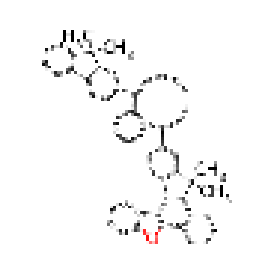 CC1(C)c2ccccc2-c2ccc(-c3ccccccc(-c4ccc5c(c4)C(C)(C)c4c-5c5c6ccccc6oc5c5ccccc45)c4ccccc34)cc21